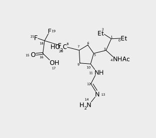 CCC(CC)C(NC(C)=O)C1CC(C(=O)O)CC1NC=NN.O=C(O)C(F)(F)F